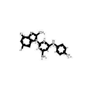 Cc1nc2c(F)cc(F)cc2n1-c1nc(N)cc(Nc2ccc(C(F)(F)F)cc2)n1